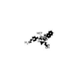 Cl.NN=CN1CCC(CNC(=O)C[C@H](NS(=O)(=O)c2ccc3ccccc3c2)C(=O)N(CCC(=O)O)C2CC2)CC1